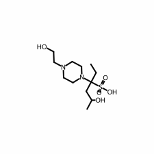 CCC(CC(C)O)(N1CCN(CCO)CC1)S(=O)(=O)O